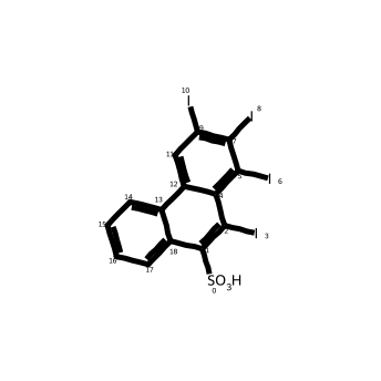 O=S(=O)(O)c1c(I)c2c(I)c(I)c(I)cc2c2ccccc12